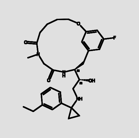 CCc1cccc(C2(NC[C@@H](O)[C@@H]3Cc4cc(F)cc(c4)OCCCCC(=O)N(C)CC(=O)N3)CC2)c1